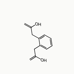 C=C(O)Cc1ccccc1CC(=C)O